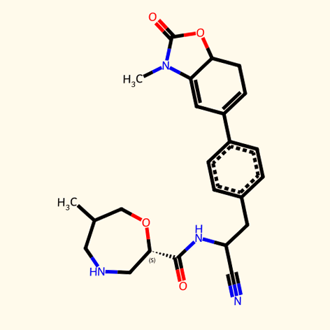 CC1CNC[C@@H](C(=O)NC(C#N)Cc2ccc(C3=CCC4OC(=O)N(C)C4=C3)cc2)OC1